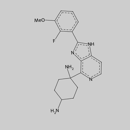 COc1cccc(-c2nc3c(C4(N)CCC(N)CC4)nccc3[nH]2)c1F